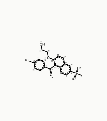 CS(=O)(=O)c1ccc2c(C(=O)c3ccc(F)cc3)c(OCCO)ccc2c1